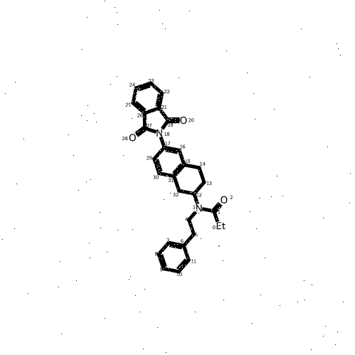 CCC(=O)N(CCc1ccccc1)C1CCc2cc(N3C(=O)c4ccccc4C3=O)ccc2C1